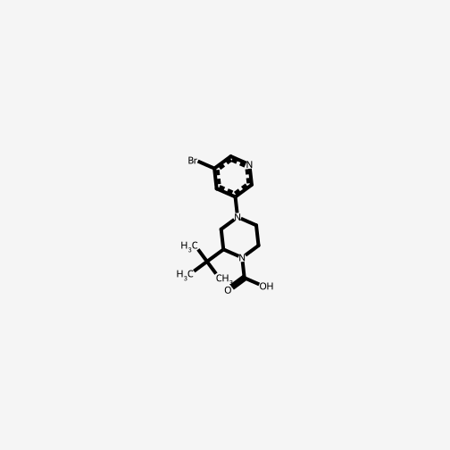 CC(C)(C)C1CN(c2cncc(Br)c2)CCN1C(=O)O